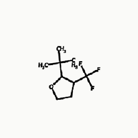 CC(C)(C)C1OCCC1C(F)(F)F